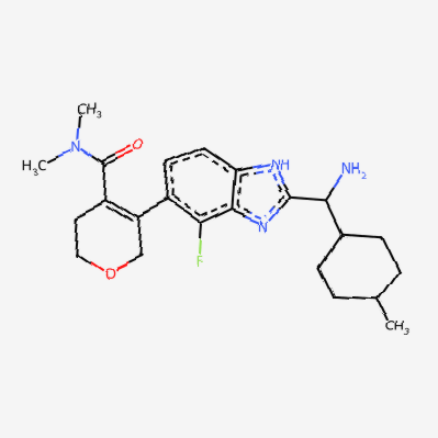 CC1CCC(C(N)c2nc3c(F)c(C4=C(C(=O)N(C)C)CCOC4)ccc3[nH]2)CC1